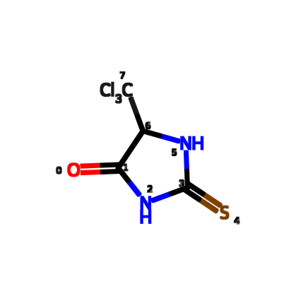 O=C1NC(=S)NC1C(Cl)(Cl)Cl